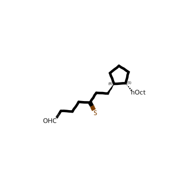 CCCCCCCC[C@H]1CCC[C@@H]1CCC(=S)CCCC=O